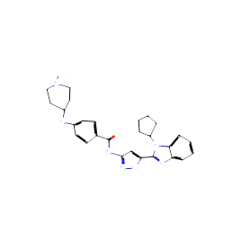 CN1CCC(Nc2ccc(C(=O)Nc3cc(-c4nc5ccccc5n4C4CCCC4)[nH]n3)cc2)CC1